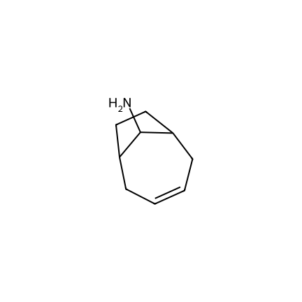 NC1C2CC=CCC1CC2